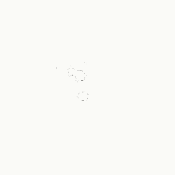 CCNc1ncn(Cc2cccc(OCOC3CCCC3)c2)c2nc(C(C)C)nc1-2